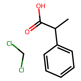 CC(C(=O)O)c1ccccc1.ClCCl